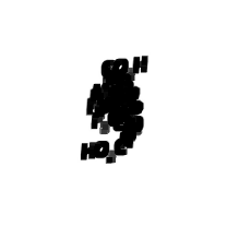 COc1ccccc1-c1cc(Sc2cc(-c3ccccc3OC)c(/C=C/C(=O)N3CCN(CC(=O)O)CC3)c(C(F)(F)F)c2C(F)(F)F)c(C(F)(F)F)c(C(F)(F)F)c1/C=C/C(=O)N1CCN(CC(=O)O)CC1